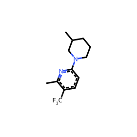 Cc1nc(N2CCCC(C)C2)ccc1C(F)(F)F